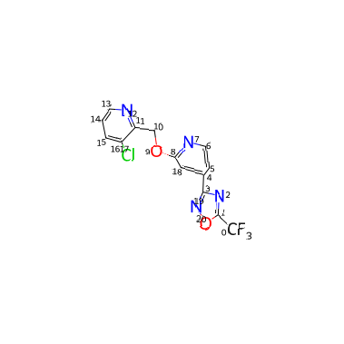 FC(F)(F)c1nc(-c2ccnc(OCc3ncccc3Cl)c2)no1